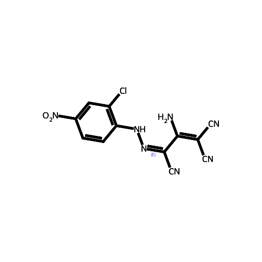 N#CC(C#N)=C(N)/C(C#N)=N\Nc1ccc([N+](=O)[O-])cc1Cl